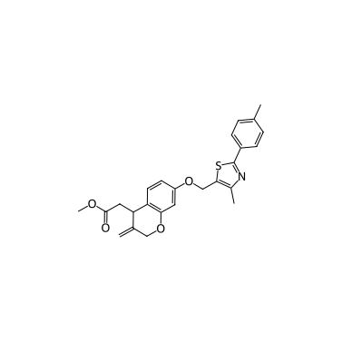 C=C1COc2cc(OCc3sc(-c4ccc(C)cc4)nc3C)ccc2C1CC(=O)OC